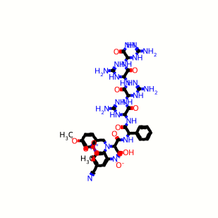 COc1ccc(CN(c2c([N+](=O)[O-])cc(C#N)cc2[N+](=O)[O-])C(CO)C(=O)NC(C(=O)NC(NC(=N)N)C(=O)NC(NC(=N)N)C(=O)NC(NC(=N)N)C(=O)NC(NC(=N)N)C(N)=O)c2ccccc2)c(OC)c1